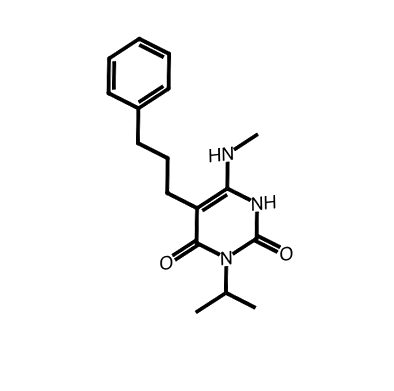 CNc1[nH]c(=O)n(C(C)C)c(=O)c1CCCc1ccccc1